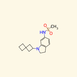 CS(=O)(=O)Nc1ccc2c(c1)N(C1CC3(CCC3)C1)CC2